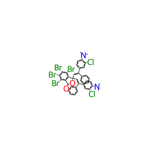 CN(C)c1ccc(C(=CC2(C=C(c3ccccc3)c3ccc(N(C)C)c(Cl)c3)OC(=O)c3c(Br)c(Br)c(Br)c(Br)c32)c2ccccc2)cc1Cl